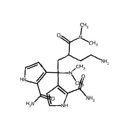 CN(C)C(=O)C(CCN)CC(c1cc[nH]c1C(N)=O)(c1cc[nH]c1C(N)=O)N(C)C